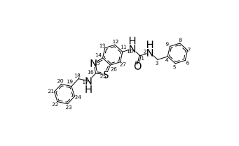 O=C(NCc1ccccc1)Nc1ccc2nc(NCc3ccccc3)sc2c1